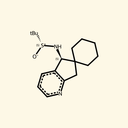 CC(C)(C)[S@@+]([O-])N[C@@H]1c2cccnc2CC12CCCCC2